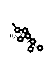 C#Cc1ccc2c(c1)c1ccccc1n2-c1c(N)cccc1-c1cccc2c1sc1c2ccc2c1c1ccccc1n2-c1ccccc1